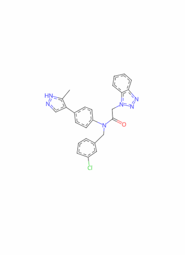 Cc1[nH]ncc1-c1ccc(N(Cc2cccc(Cl)c2)C(=O)Cn2nnc3ccccc32)cc1